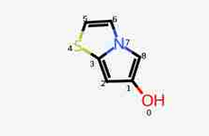 Oc1cc2sccn2c1